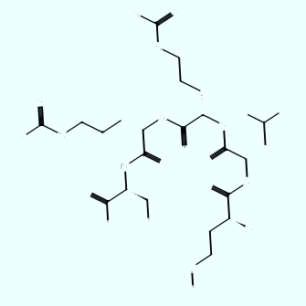 CSCC[C@H](N)C(=O)N[C@@H](CC(C)C)C(=O)N[C@@H](CCCNC(=N)N)C(=O)N[C@@H](CCCNC(=N)N)C(=O)N[C@@H](CS)C(=O)O